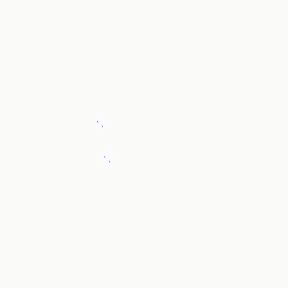 [C-]#[N+][C](CCCC[CH2])[N+]#[C-]